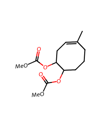 COC(=O)OC1C/C=C(/C)CCCC1OC(=O)OC